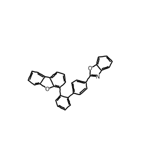 c1ccc(-c2cccc3c2oc2ccccc23)c(-c2ccc(-c3nc4ccccc4o3)cc2)c1